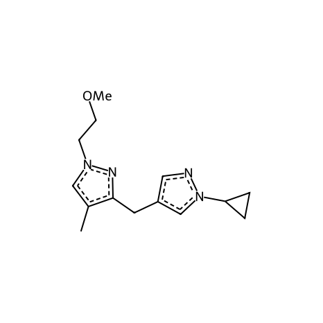 COCCn1cc(C)c(Cc2cnn(C3CC3)c2)n1